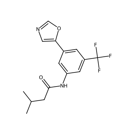 CC(C)CC(=O)Nc1cc(-c2cnco2)cc(C(F)(F)F)c1